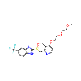 COCCOCCOc1ccnc(C[S+]([O-])c2nc3cc(C(F)(F)F)ccc3[nH]2)c1C